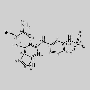 CC(C)[C@H](Nc1nc(Nc2cccc(NS(C)(=O)=O)c2)nc2[nH]cnc12)C(N)=O